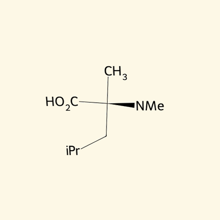 CN[C@@](C)(CC(C)C)C(=O)O